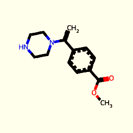 C=C(c1ccc(C(=O)OC)cc1)N1CCNCC1